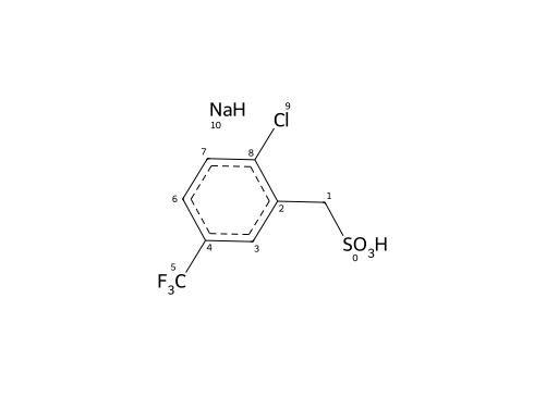 O=S(=O)(O)Cc1cc(C(F)(F)F)ccc1Cl.[NaH]